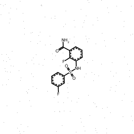 NC(=O)c1cccc(NS(=O)(=O)c2cccc(F)c2)c1F